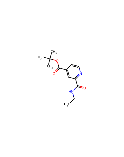 CCNC(=O)c1cc(C(=O)OC(C)(C)C)ccn1